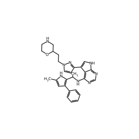 Cc1cc(-c2ccccc2)c(C(C)Nc2ncnc3[nH]cc(-c4ccn(CCC5CNCCO5)n4)c23)[nH]1